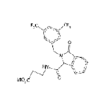 CCOC(=O)CCNC(=O)C1c2ccccc2C(=O)N1Cc1cc(C(F)(F)F)cc(C(F)(F)F)c1